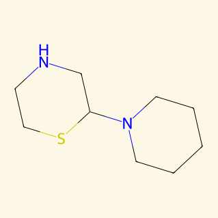 C1CCN(C2CNCCS2)CC1